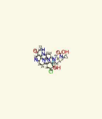 CC(C)(C)N(C(=O)O)[C@@H]1CCCN(c2ccc(Nc3c(C(=O)C4CC4)cnc4ccc(-c5cc(F)c(O)c(Cl)c5)nc34)cn2)C1